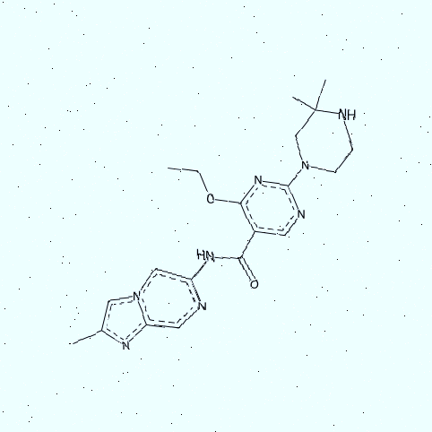 CCOc1nc(N2CCNC(C)(C)C2)ncc1C(=O)Nc1cn2cc(C)nc2cn1